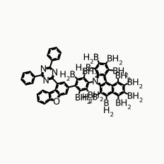 Bc1c(B)c(-n2c3c(B)c(B)c(B)c(B)c3c3c4c(B)c(B)c(B)c(B)c4c(B)c(B)c32)c(B)c(B)c1-c1cc(-c2nc(-c3ccccc3)nc(-c3ccccc3)n2)c2c(c1)oc1ccccc12